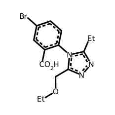 CCOCc1nnc(CC)n1-c1ccc(Br)cc1C(=O)O